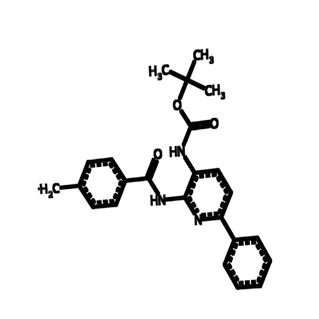 [CH2]c1ccc(C(=O)Nc2nc(-c3ccccc3)ccc2NC(=O)OC(C)(C)C)cc1